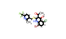 CC(=O)c1c(SCc2ccc(C(F)(F)F)nc2C)[nH]c2c(Br)ccc(Cl)c2c1=O